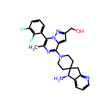 Cc1nc(N2CCC3(CC2)Cc2ncccc2[C@H]3N)c2cc(CO)nn2c1-c1cccc(F)c1F